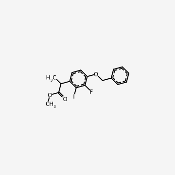 COC(=O)C(C)c1ccc(OCc2ccccc2)c(F)c1I